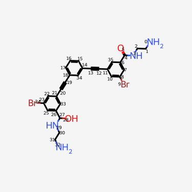 NCCNC(=O)c1cc(Br)cc(C#Cc2cccc(C#Cc3cc(Br)cc(C(O)NCCN)c3)c2)c1